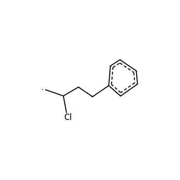 [CH2]C(Cl)CCc1ccccc1